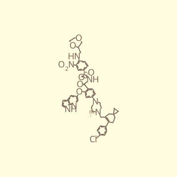 C[C@@H]1CN(c2ccc(C(=O)NS(=O)(=O)c3ccc(NCC4COCCO4)c([N+](=O)[O-])c3)c(Oc3cnc4[nH]ccc4c3)c2)CCN1CC1=C(c2ccc(Cl)cc2)CCC2(CC2)C1